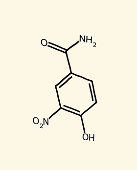 NC(=O)c1ccc(O)c([N+](=O)[O-])c1